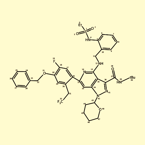 CCS(=O)(=O)Nc1ccccc1CNc1nc(-c2cc(F)c(OCc3ccccc3)cc2CC(F)(F)F)cc2c1c(C(=O)NC(C)(C)C)nn2C1CCCCO1